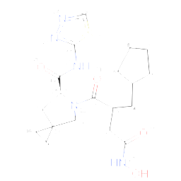 O=C(CC(CC1CCCC1)C(=O)N1CC2(CC2)C[C@H]1C(=O)Nc1nncs1)NO